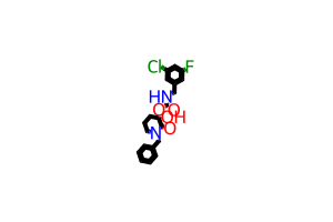 O=C(NCc1cc(F)cc(Cl)c1)O[C@]1(O)CCCN(Cc2ccccc2)C1=O